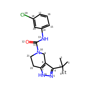 CCC(C)(C)c1n[nH]c2c1CN(C(=O)Nc1cccc(Cl)c1)CC2